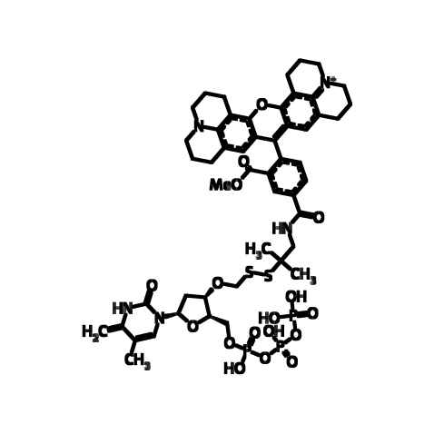 C=C1NC(=O)N([C@H]2C[C@@H](OCSSC(C)(C)CNC(=O)c3ccc(C4=c5cc6c7c(c5Oc5c4cc4c8c5CCCN8CCC4)CCC[N+]=7CCC6)c(C(=O)OC)c3)[C@@H](COP(=O)(O)OP(=O)(O)OP(=O)(O)O)O2)C=C1C